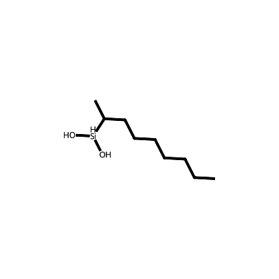 CCCCCCCC(C)[SiH](O)O